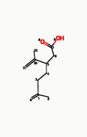 C=C(C)CCC(CC(=O)O)C(=C)C